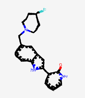 O=c1[nH]c[c]cc1-c1cc2cc(CN3CCC(F)CC3)ccc2[nH]1